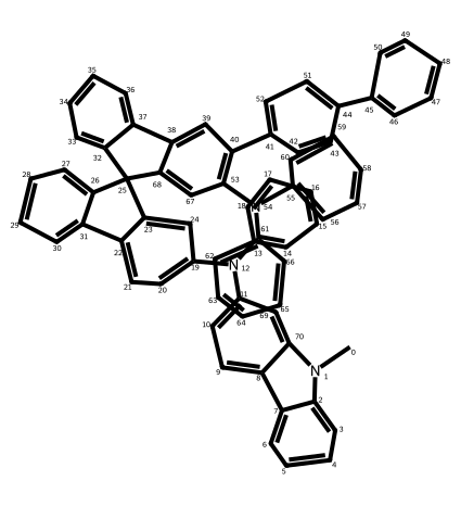 Cn1c2ccccc2c2ccc(N(c3ccccc3)c3ccc4c(c3)C3(c5ccccc5-4)c4ccccc4-c4cc(-c5ccc(-c6ccccc6)cc5)c(N(c5ccccc5)c5ccccc5)cc43)cc21